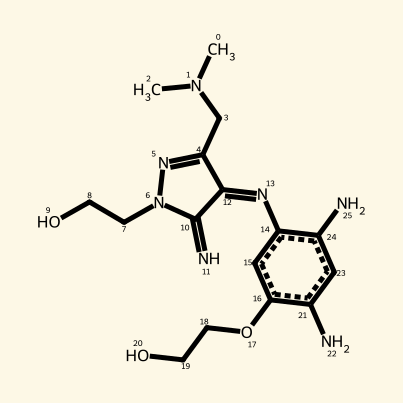 CN(C)CC1=NN(CCO)C(=N)C1=Nc1cc(OCCO)c(N)cc1N